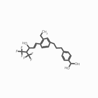 CCc1cc(CCCc2ccc(C(O)O)cc2)ccc1C=CC(O)C(C(F)(F)F)C(F)(F)F